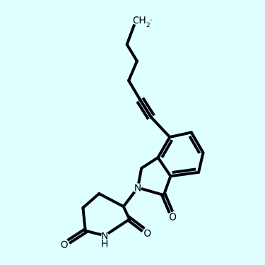 [CH2]CCCC#Cc1cccc2c1CN(C1CCC(=O)NC1=O)C2=O